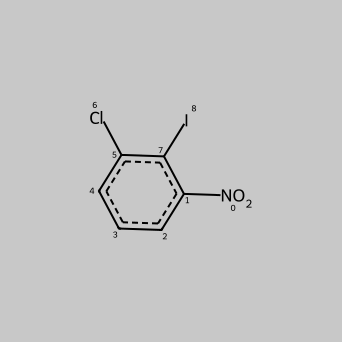 O=[N+]([O-])c1cccc(Cl)c1I